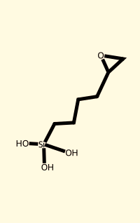 O[Si](O)(O)CCCCC1CO1